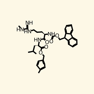 CNC(=N)NCCC[C@@H](NC(=O)OCC1c2ccccc2-c2ccccc21)C(=O)N[C@@H](CC(C)C)C(=O)OCc1ccc(C)cc1